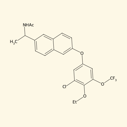 CCOc1c(Cl)cc(Oc2ccc3cc(C(C)NC(C)=O)ccc3c2)cc1OC(F)(F)F